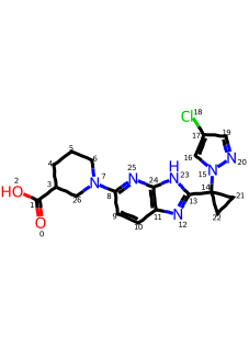 O=C(O)C1CCCN(c2ccc3nc(C4(n5cc(Cl)cn5)CC4)[nH]c3n2)C1